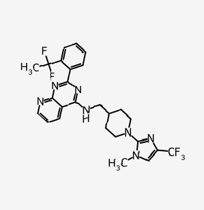 Cn1cc(C(F)(F)F)nc1N1CCC(CNc2nc(-c3ccccc3C(C)(F)F)nc3ncccc23)CC1